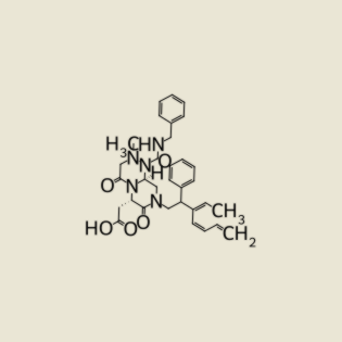 C=C/C=C\C(=C/C)C(CN1C[C@H]2N(C(=O)CN(C)N2C(=O)NCc2ccccc2)[C@@H](CC(=O)O)C1=O)c1ccccc1